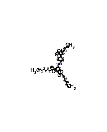 CCCCCCCC(=O)Oc1cc(/C=C/c2ccc(C(CCCCCC)C(=O)O)cc2)cc(OC(=O)CCCCCCC)c1